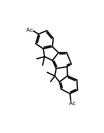 CC(=O)c1ccc2c(c1)C(C)(C)c1c-2ccc2c1C(C)(C)c1cc(C(C)=O)ccc1-2